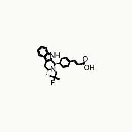 C[C@@H]1Cc2c([nH]c3ccccc23)[C@@H](C2C=CC(/C=C/C(=O)O)=CC2)N1CC(C)(C)F